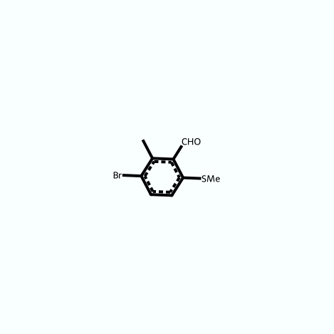 CSc1ccc(Br)c(C)c1C=O